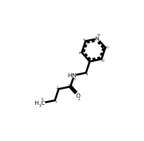 CC[CH]C(=O)NCc1ccncc1